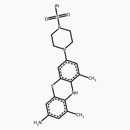 Cc1cc(N)cc2c1Nc1c(C)cc(N3CCN(S(=O)(=O)C(C)C)CC3)cc1S2